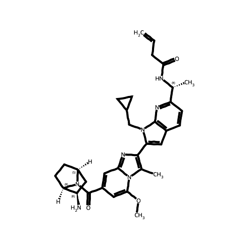 C=CCC(=O)N[C@H](C)c1ccc2cc(-c3nc4cc(C(=O)N5[C@H]6CC[C@@H]5[C@H](N)C6)cc(OC)n4c3C)n(CC3CC3)c2n1